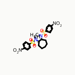 CN([C@@H]1CCCCC[C@H]1N(C)S(=O)(=O)c1ccc([N+](=O)[O-])cc1)S(=O)(=O)c1ccc([N+](=O)[O-])cc1